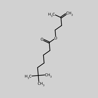 C=C(C)CCOC(=O)CCCCC(C)(C)C